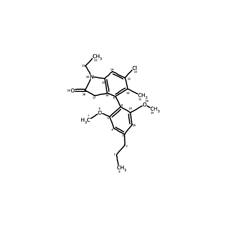 CCCc1cc(OC)c(-c2c(C)c(Cl)cc3c2CC(=O)N3CC)c(OC)c1